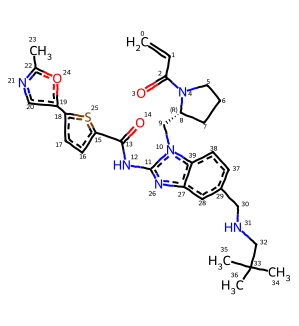 C=CC(=O)N1CCC[C@@H]1Cn1c(NC(=O)c2ccc(-c3cnc(C)o3)s2)nc2cc(CNCC(C)(C)C)ccc21